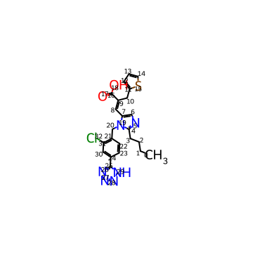 CCCCc1ncc(/C=C(\Cc2cccs2)C(=O)O)n1Cc1ccc(-c2nnn[nH]2)cc1Cl